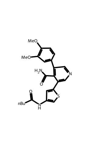 CCCCC(=O)Nc1csc(-c2cncc(-c3ccc(OC)c(OC)c3)c2C(N)=O)c1